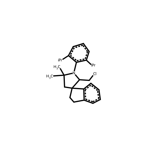 CC(C)c1cccc(C(C)C)c1N1C(CCl)C2(CCc3ccccc32)CC1(C)C